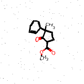 COC(=O)C1CCC(C)(c2ccccc2)C1=O